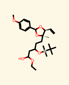 C=C[C@@H]1OC(c2ccc(OC)cc2)O[C@]1(C)CCC(CC(O)OCC)O[Si](C)(C)C(C)(C)C